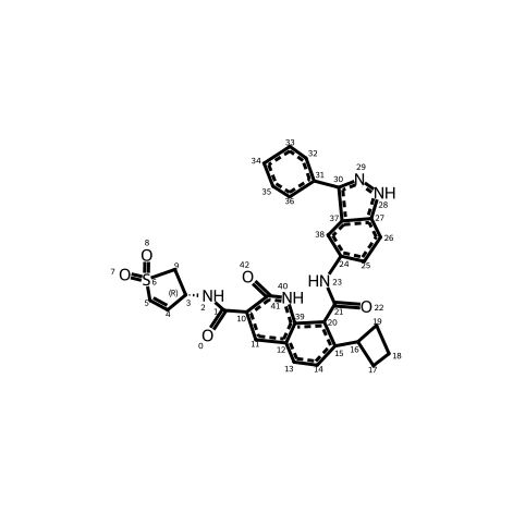 O=C(N[C@@H]1C=CS(=O)(=O)C1)c1cc2ccc(C3CCC3)c(C(=O)Nc3ccc4[nH]nc(-c5ccccc5)c4c3)c2[nH]c1=O